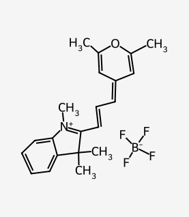 CC1=CC(=C/C=C/C2=[N+](C)c3ccccc3C2(C)C)C=C(C)O1.F[B-](F)(F)F